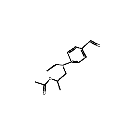 CCN(CC(C)OC(C)=O)c1ccc(C=O)cc1